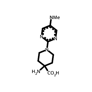 CNc1cnc(N2CCC(N)(C(=O)O)CC2)nc1